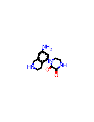 Nc1ccc2c(c1)CNCC2.O=C1NCCNC1=O